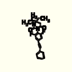 CCC1(C)CC(=O)N(c2c(F)cc(C#Cc3ccccc3)cc2F)C(=O)N1C